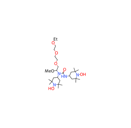 CCOCCOCCOCC(OC)N(C(=O)NC1CC(C)(C)N(O)C(C)(C)C1)C1CC(C)(C)N(O)C(C)(C)C1